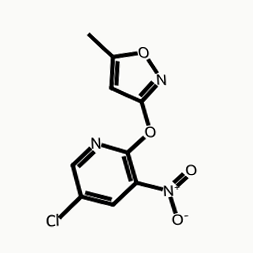 Cc1cc(Oc2ncc(Cl)cc2[N+](=O)[O-])no1